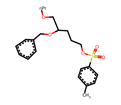 CCCOCC(CCCOS(=O)(=O)c1ccc(C)cc1)OCc1ccccc1